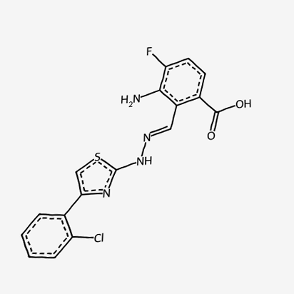 Nc1c(F)ccc(C(=O)O)c1/C=N/Nc1nc(-c2ccccc2Cl)cs1